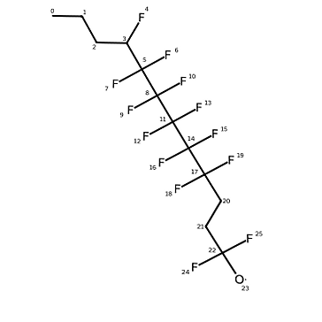 CCCC(F)C(F)(F)C(F)(F)C(F)(F)C(F)(F)C(F)(F)CCC([O])(F)F